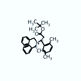 Cc1ccc(C)c([C@H](CC(=O)OC(C)(C)C)N(Cc2ccccc2)[C@H](C)c2ccccc2)c1